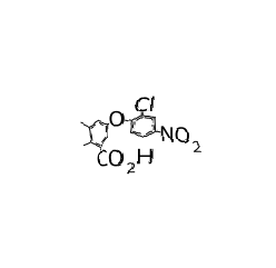 Cc1cc(Oc2ccc([N+](=O)[O-])cc2Cl)cc(C(=O)O)c1C